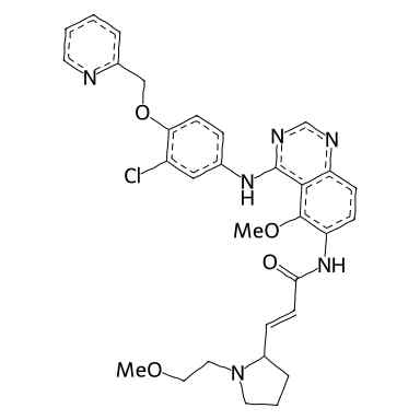 COCCN1CCCC1C=CC(=O)Nc1ccc2ncnc(Nc3ccc(OCc4ccccn4)c(Cl)c3)c2c1OC